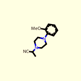 COc1ccccc1N1CCN(C(C)C#N)CC1